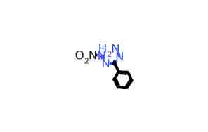 NN=C(N=N[N+](=O)[O-])c1ccccc1